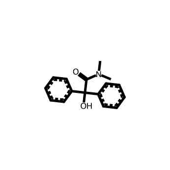 CN(C)C(=O)C(O)(c1ccccc1)c1ccccc1